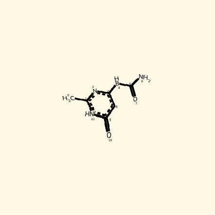 Cc1nc(BC(N)=O)cc(=O)[nH]1